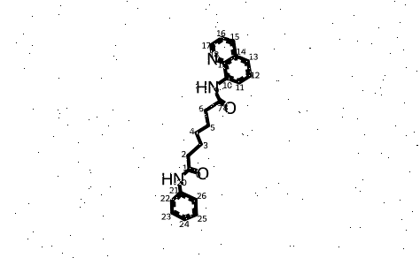 O=C(CCCCCC(=O)Nc1cccc2cccnc12)Nc1ccccc1